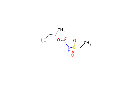 CCC(C)OC(=O)NS(=O)(=O)CC